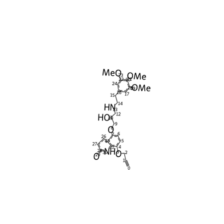 C#CCOc1ccc(OCC(O)CNCCc2cc(OC)c(OC)c(OC)c2)c2ccc(=O)[nH]c12